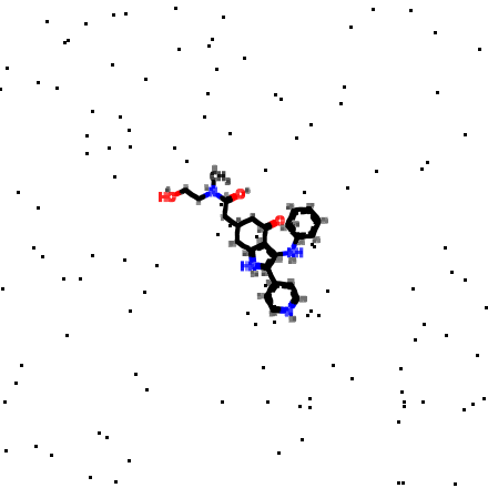 CN(CCO)C(=O)CC1CC(=O)c2c([nH]c(-c3ccncc3)c2Nc2ccccc2)C1